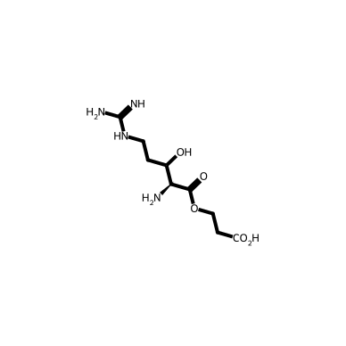 N=C(N)NCCC(O)[C@H](N)C(=O)OCCC(=O)O